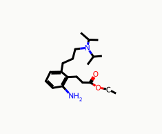 CCOC(=O)CCc1c(N)cccc1CCCN(C(C)C)C(C)C